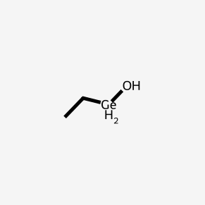 C[CH2][GeH2][OH]